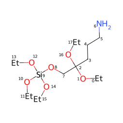 CCOC(CCCN)(CO[Si](OCC)(OCC)OCC)OCC